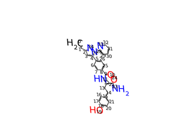 C=Cc1cc(-c2ccc(C(=O)NC(CCc3ccc(O)cc3)C(N)=O)cc2)n(-c2ccccn2)n1